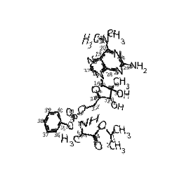 CC(C)OC(=O)[C@@H](C)N[P@](=O)(OC[C@H]1O[C@@H](n2cnc3c(N(C)C)nc(N)nc32)[C@](C)(O)[C@@H]1O)Oc1ccccc1